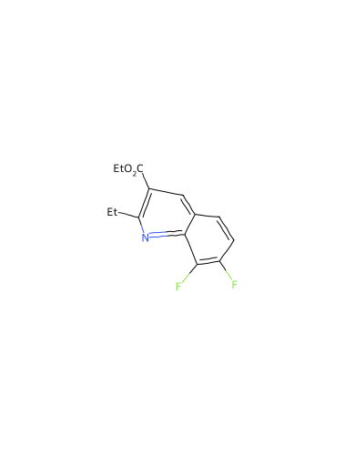 CCOC(=O)c1cc2ccc(F)c(F)c2nc1CC